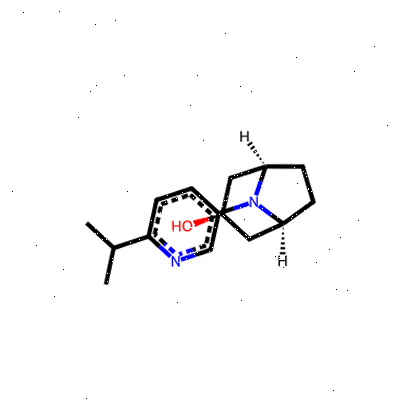 CC(C)c1ccc(N2[C@@H]3CC[C@H]2C[C@@H](O)C3)cn1